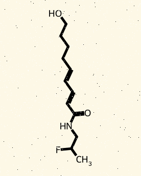 CC(F)CNC(=O)/C=C/C=C/CCCCO